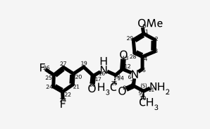 COc1ccc(CN(C(=O)[C@H](C)N)C(=O)[C@H](C)NC(=O)Cc2cc(F)cc(F)c2)cc1